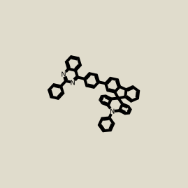 c1ccc(-c2nc(-c3ccc(-c4ccc5c(c4)C4(c6ccccc6-5)c5ccccc5N(c5ccccc5)c5ccccc54)cc3)c3ccccc3n2)cc1